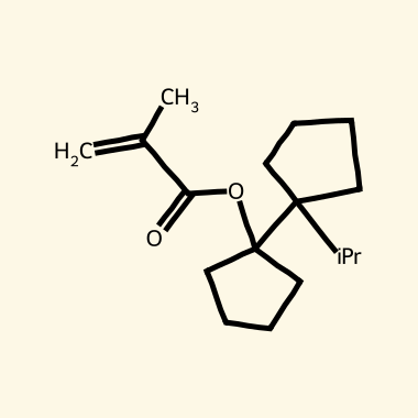 C=C(C)C(=O)OC1(C2(C(C)C)CCCC2)CCCC1